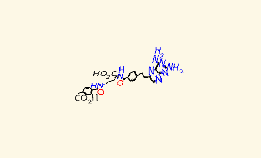 Cc1ccc(C(=O)NCCC[C@H](NC(=O)c2ccc(CCc3cnc4nc(N)nc(N)c4n3)cc2)C(=O)O)c(C(=O)O)c1